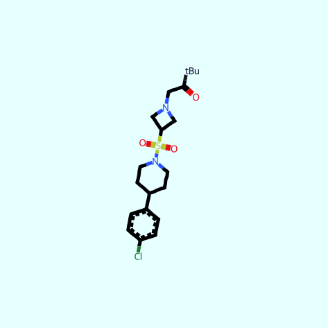 CC(C)(C)C(=O)CN1CC(S(=O)(=O)N2CCC(c3ccc(Cl)cc3)CC2)C1